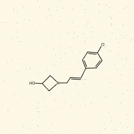 OC1CN(C/C=C/c2ccc(Cl)cc2)C1